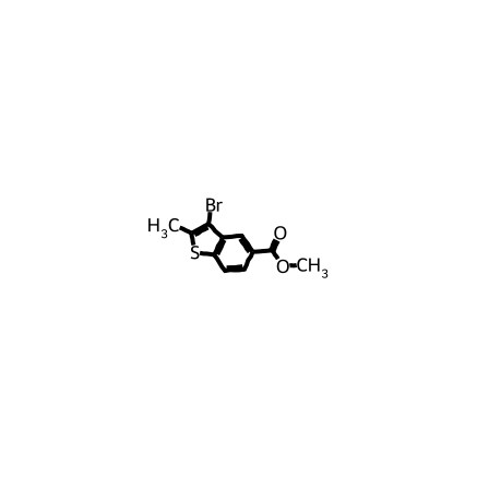 COC(=O)c1ccc2sc(C)c(Br)c2c1